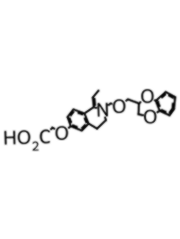 C/C=C1/c2ccc(OCC(=O)O)cc2CCN1COCC1COc2ccccc2O1